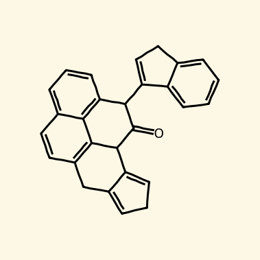 O=C1C(C2=CCc3ccccc32)c2cccc3ccc4c(c23)C1C1=CCC=C1C4